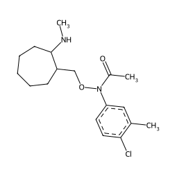 CNC1CCCCCC1CON(C(C)=O)c1ccc(Cl)c(C)c1